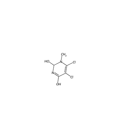 CN1C(Cl)=C(Cl)C(O)=NC1O